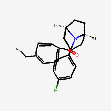 CC(=O)Cc1ccc(C(=O)N2[C@@H]3CC[C@H]2C[C@@H](c2ccc(F)cc2)C3)cc1